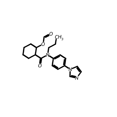 CCCN(C(=O)C1CCCCC1OC=O)c1ccc(-n2ccnc2)cc1